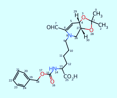 CC1(C)O[C@H]2C=C(C=O)N(CCCCC(NC(=O)OCc3ccccc3)C(=O)O)C[C@H]2O1